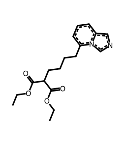 CCOC(=O)C(CCCCc1cccc2cncn12)C(=O)OCC